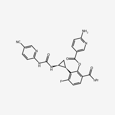 CCCC(=O)c1ccc(F)c([C@@H]2C[C@@H]2NC(=O)Nc2ccc(C#N)cn2)c1OC(=O)c1ccc(N)nc1